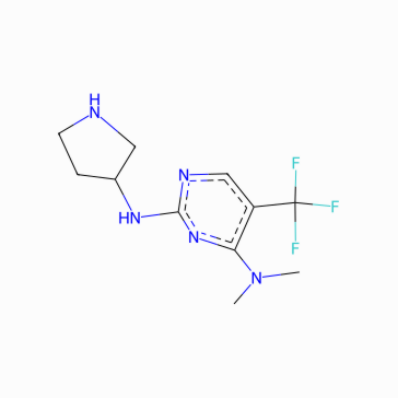 CN(C)c1nc(NC2CCNC2)ncc1C(F)(F)F